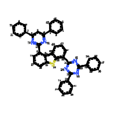 c1ccc(-c2cc(-c3ccccc3)nc(-c3cccc4sc5c(-c6nc(-c7ccccc7)nc(-c7ccccc7)n6)cccc5c34)n2)cc1